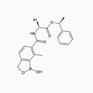 Cc1c(C(=O)N[C@H](C(=O)O[C@@H](C)c2ccccc2)C(C)C)ccc2c1B(O)OC2